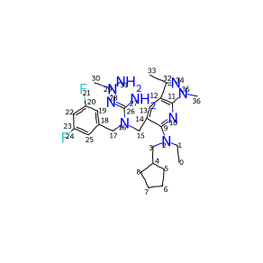 CCN(CC1CCCC1)c1nc2c(cc1CN(Cc1cc(F)cc(F)c1)/C(N)=N/N(C)N)c(C)nn2C